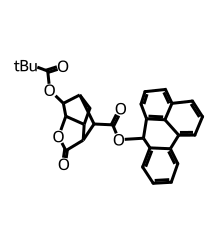 CC(C)(C)C(=O)OC1C2CC3C1OC(=O)C3C2C(=O)OC1c2ccccc2-c2cccc3cccc1c23